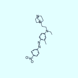 CCN(CC[N+]12CCN(CC1)CC2)c1ccc(/N=N/c2ccc([N+](=O)[O-])cc2)c(C)c1